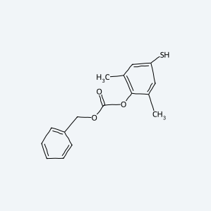 Cc1cc(S)cc(C)c1OC(=O)OCc1ccccc1